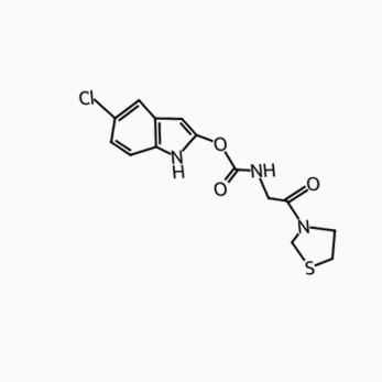 O=C(NCC(=O)N1CCSC1)Oc1cc2cc(Cl)ccc2[nH]1